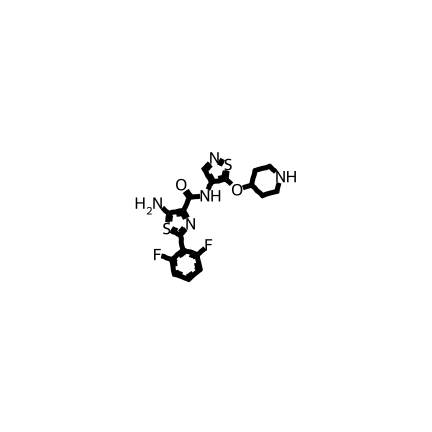 Nc1sc(-c2c(F)cccc2F)nc1C(=O)Nc1cnsc1OC1CCNCC1